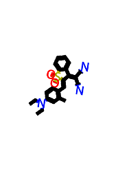 CCN(CC)c1ccc(C=C2C(=C(C#N)C#N)c3ccccc3S2(=O)=O)c(C)c1